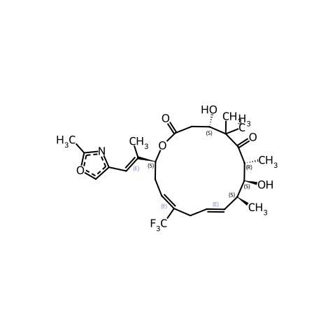 C/C(=C\c1coc(C)n1)[C@@H]1C/C=C(/C(F)(F)F)C/C=C/[C@H](C)[C@H](O)[C@@H](C)C(=O)C(C)(C)[C@@H](O)CC(=O)O1